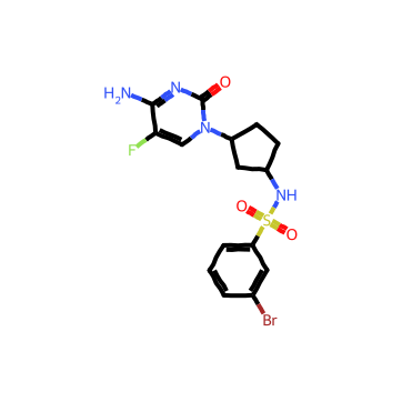 Nc1nc(=O)n(C2CCC(NS(=O)(=O)c3cccc(Br)c3)C2)cc1F